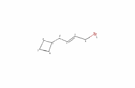 BrC/C=C/CC1CCC1